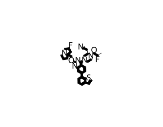 C[C@H](F)C(=O)N1CCN(c2nc(OCC34CCCN3C[C@H](F)C4)nc3cc(-c4cccc5ccsc45)ccc23)C[C@@H]1CC#N